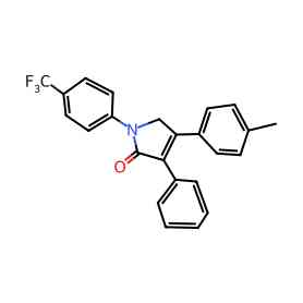 Cc1ccc(C2=C(c3ccccc3)C(=O)N(c3ccc(C(F)(F)F)cc3)C2)cc1